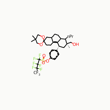 CCCC1C2CCC3CC4(CCC3=C2[C@@H](c2ccc(OS(=O)(=O)C(F)(F)C(F)(F)C(F)(F)C(F)(F)F)cc2)C[C@]1(C)CO)OCC(C)(C)CO4